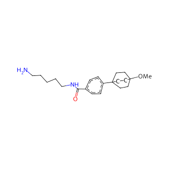 COC12CCC(c3ccc(C(=O)NCCCCCN)cc3)(CC1)CC2